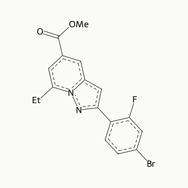 CCc1cc(C(=O)OC)cc2cc(-c3ccc(Br)cc3F)nn12